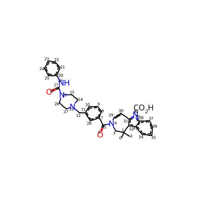 CC1(C)CN(C(=O)c2cccc(CN3CCN(C(=O)Nc4ccccc4)CC3)c2)C=Cc2c1c1ccccc1n2C(=O)O